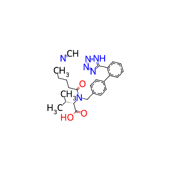 C#N.CCCCC(=O)N(Cc1ccc(-c2ccccc2-c2nnn[nH]2)cc1)[C@H](C(=O)O)C(C)C